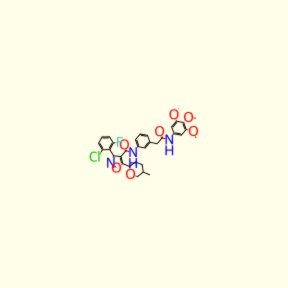 COc1cc(NC(=O)Cc2cccc(NC(=O)c3c(-c4c(F)cccc4Cl)noc3C3CCC(C)CO3)c2)cc(OC)c1OC